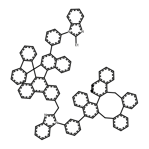 CCc1nc2ccccc2n1-c1cccc(-c2cc3c(c4ccccc24)-c2c(c4ccccc4c4cc(Cc5nc6ccccc6n5-c5cccc(-c6cc7c(c8ccccc68)-c6c(c8ccccc8c8ccccc68)Cc6ccccc6-c6ccccc6C7)c5)ccc24)C32c3ccccc3-c3ccccc32)c1